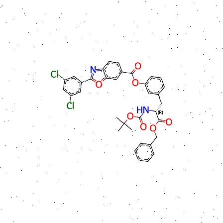 CC(C)(C)OC(=O)N[C@H](Cc1cccc(OC(=O)c2ccc3nc(-c4cc(Cl)cc(Cl)c4)oc3c2)c1)C(=O)OCc1ccccc1